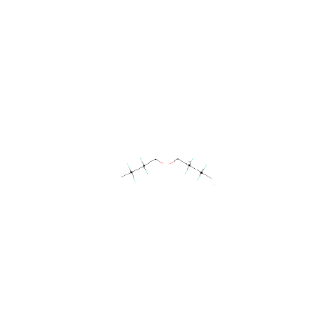 CCC(F)(F)C(F)(F)COCC(F)(F)C(F)(F)CC